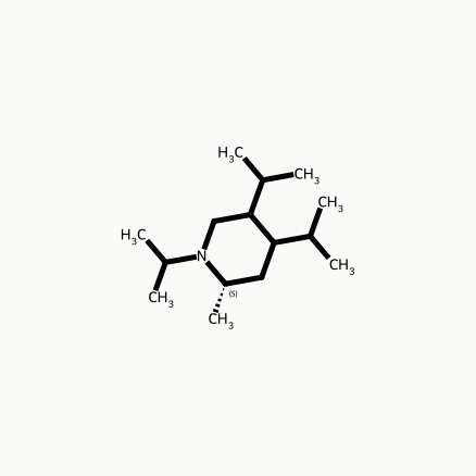 CC(C)C1C[C@H](C)N(C(C)C)CC1C(C)C